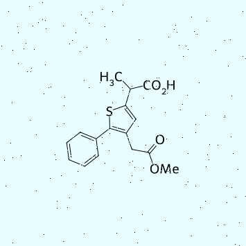 COC(=O)Cc1cc(C(C)C(=O)O)sc1-c1ccccc1